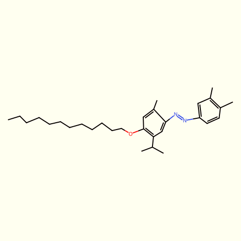 CCCCCCCCCCCCOc1cc(C)c(/N=N/c2ccc(C)c(C)c2)cc1C(C)C